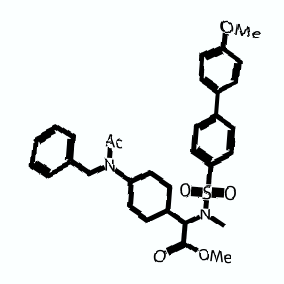 COC(=O)C(C1CCC(N(Cc2ccccc2)C(C)=O)CC1)N(C)S(=O)(=O)c1ccc(-c2ccc(OC)cc2)cc1